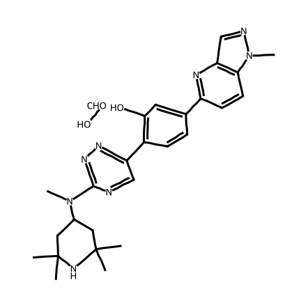 CN(c1ncc(-c2ccc(-c3ccc4c(cnn4C)n3)cc2O)nn1)C1CC(C)(C)NC(C)(C)C1.O=CO